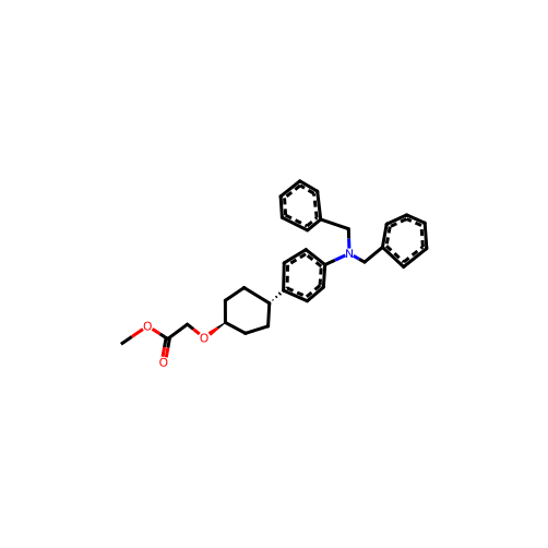 COC(=O)CO[C@H]1CC[C@H](c2ccc(N(Cc3ccccc3)Cc3ccccc3)cc2)CC1